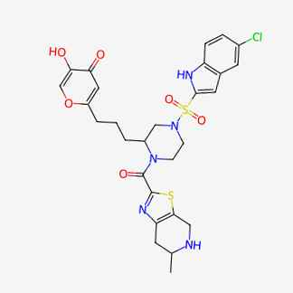 CC1Cc2nc(C(=O)N3CCN(S(=O)(=O)c4cc5cc(Cl)ccc5[nH]4)CC3CCCc3cc(=O)c(O)co3)sc2CN1